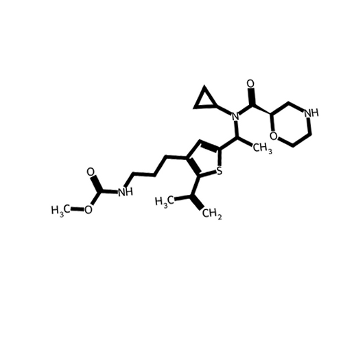 C=C(C)c1sc(C(C)N(C(=O)[C@H]2CNCCO2)C2CC2)cc1CCCNC(=O)OC